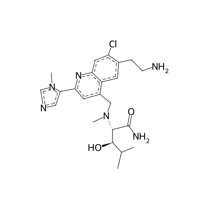 CC(C)[C@@H](O)[C@@H](C(N)=O)N(C)Cc1cc(-c2cncn2C)nc2cc(Cl)c(CCN)cc12